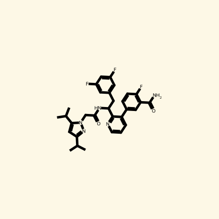 CC(C)c1cc(C(C)C)n(CC(=O)NC(Cc2cc(F)cc(F)c2)c2ncccc2-c2ccc(F)c(C(N)=O)c2)n1